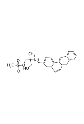 CC(CO)(COS(C)(=O)=O)NCc1ccc2c(ccc3cc4ccccc4cc32)c1